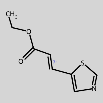 CCOC(=O)/C=C/c1cncs1